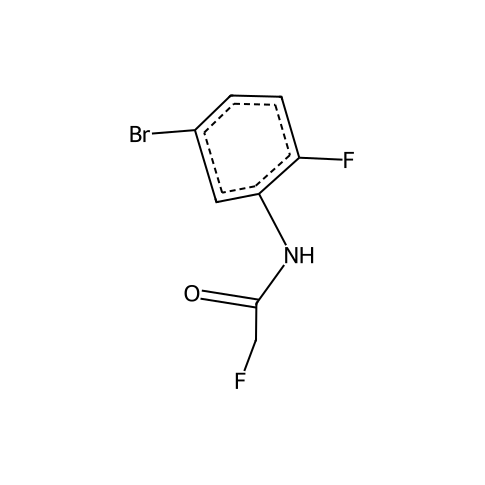 O=C(CF)Nc1cc(Br)ccc1F